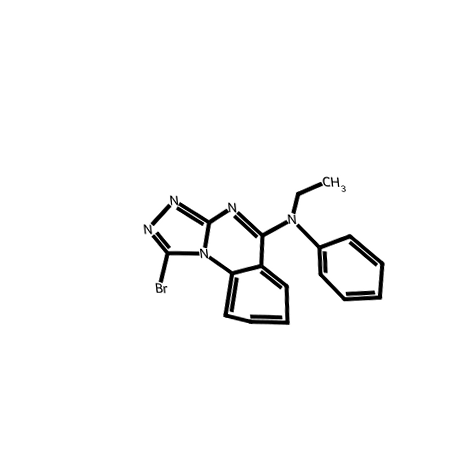 CCN(c1ccccc1)c1nc2nnc(Br)n2c2ccccc12